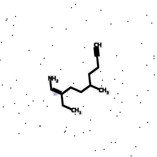 C#CCCC(C)CC/C(=C\N)CC